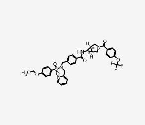 CCOc1ccc(S(=O)(=O)N(Cc2ccc(C(=O)NC3[C@H]4CN(C(=O)c5ccc(OC(F)(F)F)cc5)C[C@@H]34)cc2)Cc2ccccn2)cc1